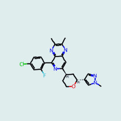 Cc1nc2cc([C@@H]3CCO[C@@H](c4cnn(C)c4)C3)nc(-c3ccc(Cl)cc3F)c2nc1C